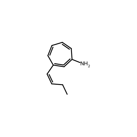 CC/C=C\C1=C=C(N)C=CC=C1